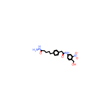 NNC(=O)CCCCc1ccc(CC(=O)Nc2ccc(CO)c([N+](=O)[O-])c2)cc1